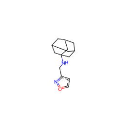 c1cc(CNC23CC4CC(CC(C4)C2)C3)no1